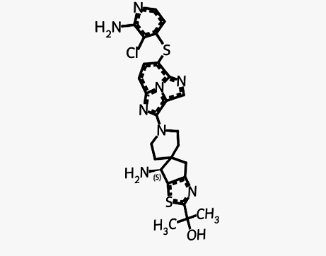 CC(C)(O)c1nc2c(s1)[C@@H](N)C1(CCN(c3nc4ccc(Sc5ccnc(N)c5Cl)c5ncc3n45)CC1)C2